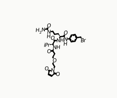 CC(C)[C@H](NC(=O)CCOCCN1C(=O)C=CC1=O)C(=O)N[C@@H](CCCNC(N)=O)C(=O)Nc1ccc(CBr)cc1